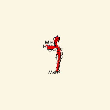 C/C=C1\C[C@@H](C)N(C(=O)c2cc(OC)c(OCc3cc(OCCN(C)CC(C)(C)SC4CC(=O)N(CCC(=O)NCCOCCOCCOCCOCCC(=O)NC)C4=O)cc(COc4cc5c(cc4OC)C(=O)N4C/C(=C/C)C[C@@H]4C=N5)n3)cc2N)C1